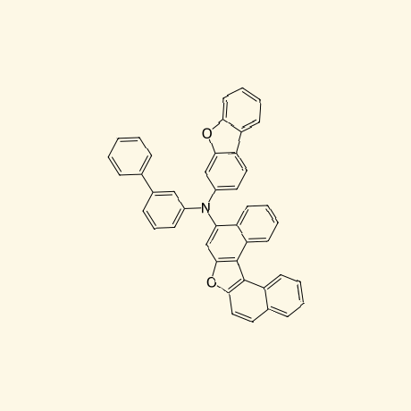 c1ccc(-c2cccc(N(c3ccc4c(c3)oc3ccccc34)c3cc4oc5ccc6ccccc6c5c4c4ccccc34)c2)cc1